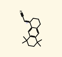 CC1(C)CCC(C)(C)c2cc3c(cc21)CCC/C3=C\C#N